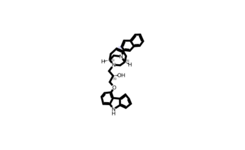 O[C@H](COc1cccc2[nH]c3ccccc3c12)CN1C[C@@H]2C/C=C\C[C@H]1CN2c1ccc2ccccc2c1